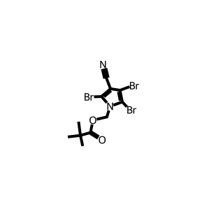 CC(C)(C)C(=O)OCn1c(Br)c(Br)c(C#N)c1Br